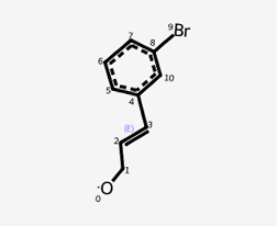 [O]C/C=C/c1cccc(Br)c1